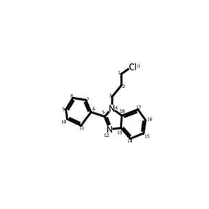 ClCCCn1c(-c2ccccc2)nc2ccccc21